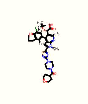 Cc1nc2c(cc(-c3nc(N4CCN(C(=O)C5CCOCC5)CC4)ns3)n2C)c(-c2cc(F)c3c(c2C)CCCO3)c1[C@H](OC(C)(C)C)C(=O)O